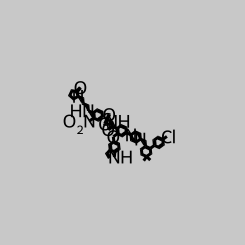 CC1(C)CCC(CN2CCN(c3ccc(C(=O)NS(=O)(=O)c4ccc(NCCCN5CCCC5=O)c([N+](=O)[O-])c4)c(Oc4ccc5[nH]ccc5c4)c3)CC2)=C(c2ccc(Cl)cc2)C1